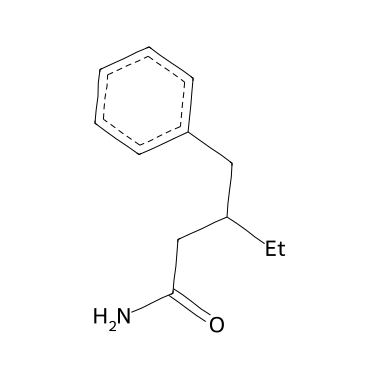 CCC(CC(N)=O)Cc1ccccc1